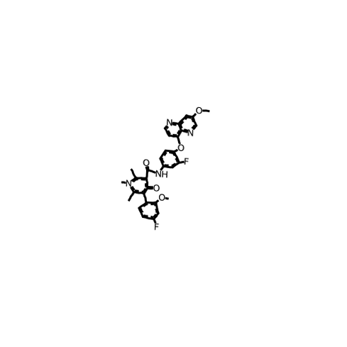 COc1cnc2c(Oc3ccc(NC(=O)c4c(C)n(C)c(C)c(-c5ccc(F)cc5OC)c4=O)cc3F)ccnc2c1